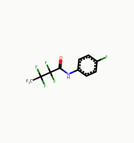 O=C(Nc1ccc(F)cc1)C(F)(F)C(F)(F)C(F)(F)F